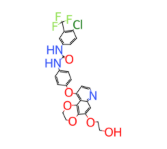 O=C(Nc1ccc(Oc2ccnc3cc(OCCO)c4c(c23)OCCO4)cc1)Nc1ccc(Cl)c(C(F)(F)F)c1